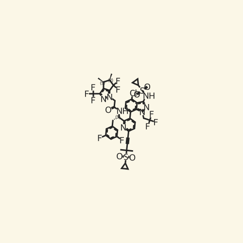 C[C@@H]1c2c(C(F)(F)F)nn(CC(=O)N[C@@H](Cc3cc(F)cc(F)c3)c3nc(C#CC(C)(C)S(=O)(=O)C4CC4)ccc3-c3ccc(Cl)c4c(NS(=O)(=O)C5CC5)nn(CC(F)(F)F)c34)c2C(F)(F)[C@@H]1C